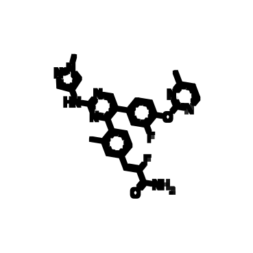 Cc1ccnc(Oc2ccc(-c3cnc(Nc4cnn(C)c4)nc3-c3ccc(C=C(F)C(N)=O)cc3C)cc2F)n1